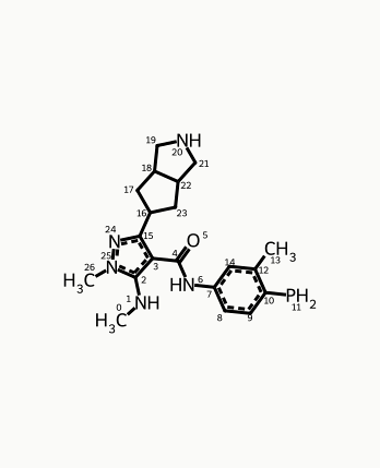 CNc1c(C(=O)Nc2ccc(P)c(C)c2)c(C2CC3CNCC3C2)nn1C